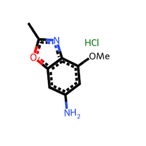 COc1cc(N)cc2oc(C)nc12.Cl